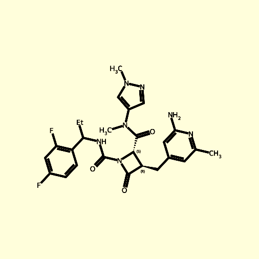 CCC(NC(=O)N1C(=O)[C@H](Cc2cc(C)nc(N)c2)[C@H]1C(=O)N(C)c1cnn(C)c1)c1ccc(F)cc1F